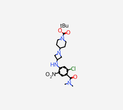 CN(C)C(=O)c1cc([N+](=O)[O-])c(NC2CN(C3CCN(C(=O)OC(C)(C)C)CC3)C2)cc1Cl